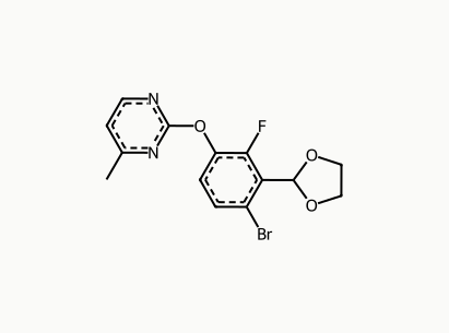 Cc1ccnc(Oc2ccc(Br)c(C3OCCO3)c2F)n1